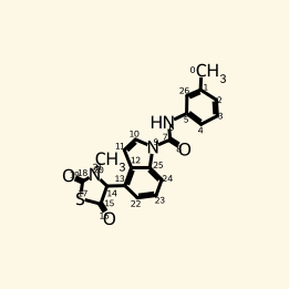 Cc1cccc(NC(=O)n2ccc3c(C4C(=O)SC(=O)N4C)cccc32)c1